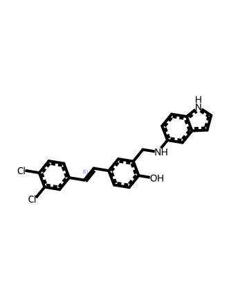 Oc1ccc(/C=C/c2ccc(Cl)c(Cl)c2)cc1CNc1ccc2[nH]ccc2c1